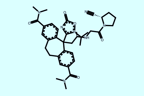 CC(C)n1oc(=O)nc1C1(C[C@@H](C)NCC(=O)N2CCC[C@H]2C#N)c2ccc(C(=O)N(C)C)cc2CCc2cc(C(=O)N(C)C)ccc21